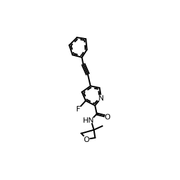 CC1(NC(=O)c2ncc(C#Cc3ccccc3)cc2F)COC1